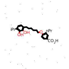 CCCc1cc(C(=O)O)ccc1OCCCCCCc1ccc(C(C)C)c(O)c1O